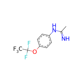 CC(=N)Nc1ccc(OC(F)(F)C(F)(F)F)cc1